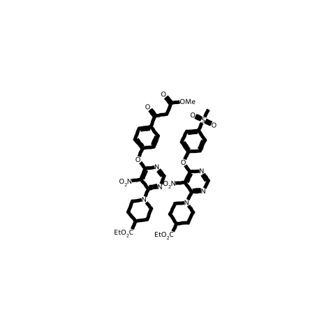 CCOC(=O)C1CCN(c2ncnc(Oc3ccc(C(=O)CC(=O)OC)cc3)c2[N+](=O)[O-])CC1.CCOC(=O)C1CCN(c2ncnc(Oc3ccc(S(C)(=O)=O)cc3)c2[N+](=O)[O-])CC1